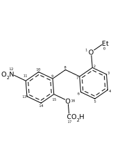 CCOc1ccccc1Cc1cc([N+](=O)[O-])ccc1OC(=O)O